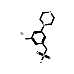 O=S(=O)([O-])Cc1cc(F)cc(N2CCOCC2)c1.[Na+]